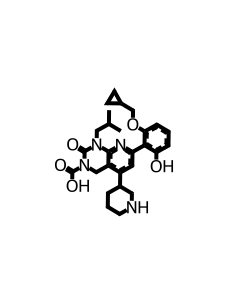 CC(C)CN1C(=O)N(C(=O)O)Cc2c(C3CCCNC3)cc(-c3c(O)cccc3OCC3CC3)nc21